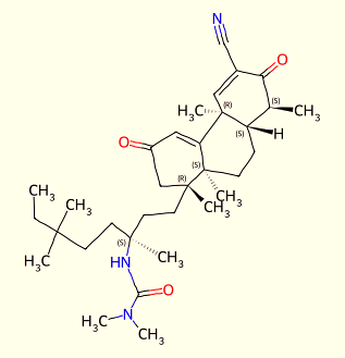 CCC(C)(C)CC[C@@](C)(CC[C@]1(C)CC(=O)C=C2[C@@]3(C)C=C(C#N)C(=O)[C@@H](C)[C@@H]3CC[C@]21C)NC(=O)N(C)C